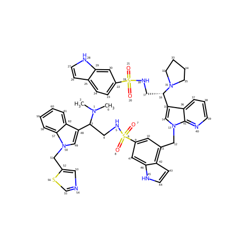 CN(C)C(CNS(=O)(=O)c1cc(Cn2cc([C@H](CNS(=O)(=O)c3ccc4cc[nH]c4c3)N3CCCC3)c3cccnc32)c2cc[nH]c2c1)c1cn(Cc2cncs2)c2ccccc12